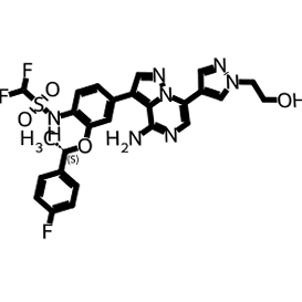 C[C@H](Oc1cc(-c2cnn3c(-c4cnn(CCO)c4)cnc(N)c23)ccc1NS(=O)(=O)C(F)F)c1ccc(F)cc1